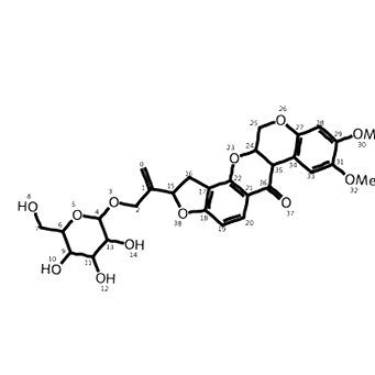 C=C(COC1OC(CO)C(O)C(O)C1O)C1Cc2c(ccc3c2OC2COc4cc(OC)c(OC)cc4C2C3=O)O1